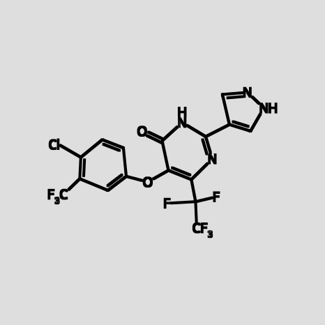 O=c1[nH]c(-c2cn[nH]c2)nc(C(F)(F)C(F)(F)F)c1Oc1ccc(Cl)c(C(F)(F)F)c1